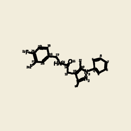 Cc1nn(-c2ccccc2)c(C)c1CC(=O)NCc1ccc(F)c(F)c1